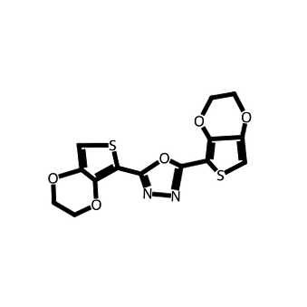 c1sc(-c2nnc(-c3scc4c3OCCO4)o2)c2c1OCCO2